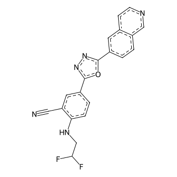 N#Cc1cc(-c2nnc(-c3ccc4cnccc4c3)o2)ccc1NCC(F)F